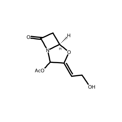 CC(=O)OC1C(=CCO)O[C@@H]2CC(=O)N12